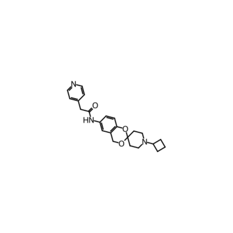 O=C(Cc1ccncc1)Nc1ccc2c(c1)COC1(CCN(C3CCC3)CC1)O2